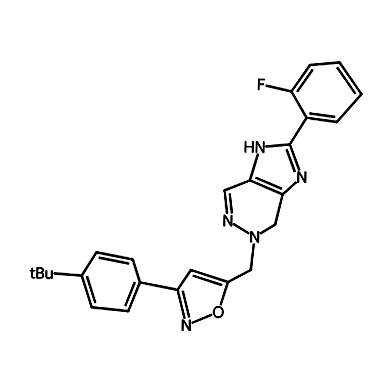 CC(C)(C)c1ccc(-c2cc(CN3Cc4nc(-c5ccccc5F)[nH]c4C=N3)on2)cc1